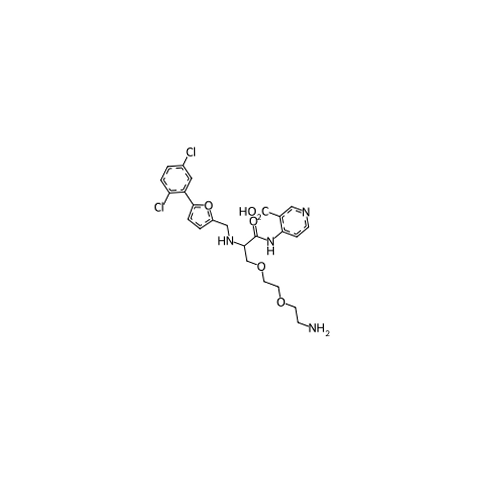 NCCOCCOCC(NCc1ccc(-c2cc(Cl)ccc2Cl)o1)C(=O)Nc1ccncc1C(=O)O